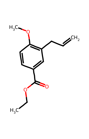 C=CCc1cc(C(=O)OCC)ccc1OC